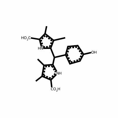 Cc1c(C(=O)O)[nH]c(C(c2ccc(O)cc2)c2[nH]c(C(=O)O)c(C)c2C)c1C